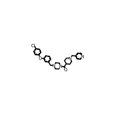 O=C(C1CCN(Cc2ccncc2)CC1)N1CCN(Cc2cccc(Oc3ccc(Cl)cc3)c2)CC1